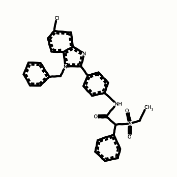 CCS(=O)(=O)C(C(=O)Nc1ccc(-c2nc3cc(Cl)ccc3n2Cc2ccccc2)cc1)c1ccccc1